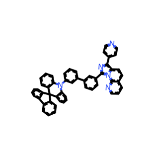 c1cc(-c2cccc(N3c4ccccc4C4(c5ccccc5-c5ccccc54)c4ccccc43)c2)cc(-c2nc(-c3ccncc3)c3ccc4cccnc4n23)c1